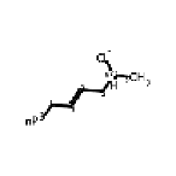 CCCCC=CC[SiH](C)Cl